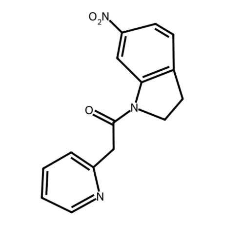 O=C(Cc1ccccn1)N1CCc2ccc([N+](=O)[O-])cc21